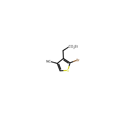 CCOC(=O)Cc1c(C#N)csc1Br